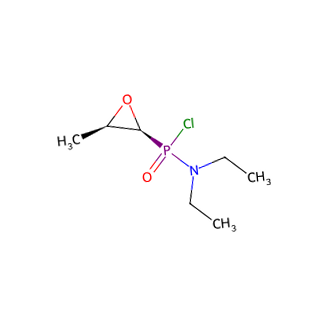 CCN(CC)P(=O)(Cl)[C@@H]1O[C@@H]1C